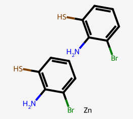 Nc1c(S)cccc1Br.Nc1c(S)cccc1Br.[Zn]